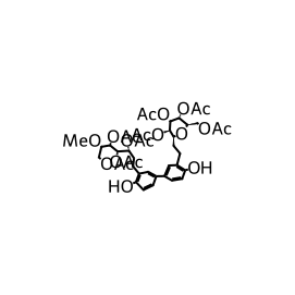 CO[C@H](COC(C)=O)[C@@H](OC(C)=O)[C@H](OC(C)=O)[C@@H](CCc1cc(-c2ccc(O)c(CC[C@@H]3O[C@H](COC(C)=O)[C@@H](OC(C)=O)[C@H](OC(C)=O)[C@@H]3OC(C)=O)c2)ccc1O)OC(C)=O